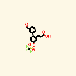 O=Cc1cccc(-c2ccc(OS(=O)(=O)C(F)(F)F)cc2C=CC(=O)O)c1